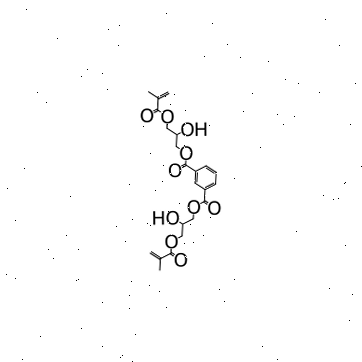 C=C(C)C(=O)OCC(O)COC(=O)c1cccc(C(=O)OCC(O)COC(=O)C(=C)C)c1